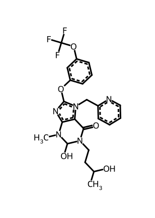 CC(O)CCN1C(=O)c2c(nc(Oc3cccc(OC(F)(F)F)c3)n2Cc2ccccn2)N(C)C1O